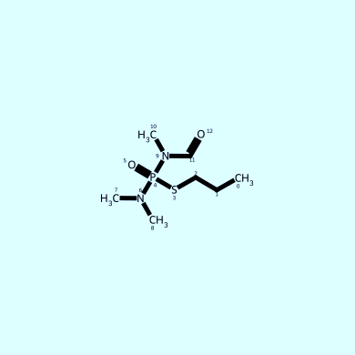 CCCSP(=O)(N(C)C)N(C)C=O